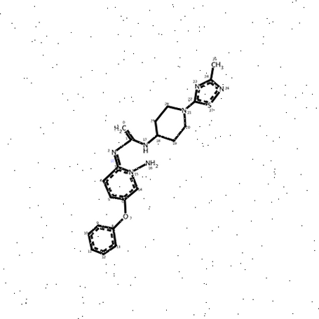 C=C(/N=c1/ccc(Oc2ccccc2)cn1N)NC1CCN(c2nc(C)ns2)CC1